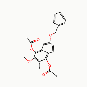 COc1c(C)c(OC(C)=O)c2ccc(OCc3ccccc3)cc2c1OC(C)=O